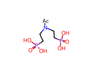 CC(=O)N(CCP(=O)(O)O)CCP(=O)(O)O